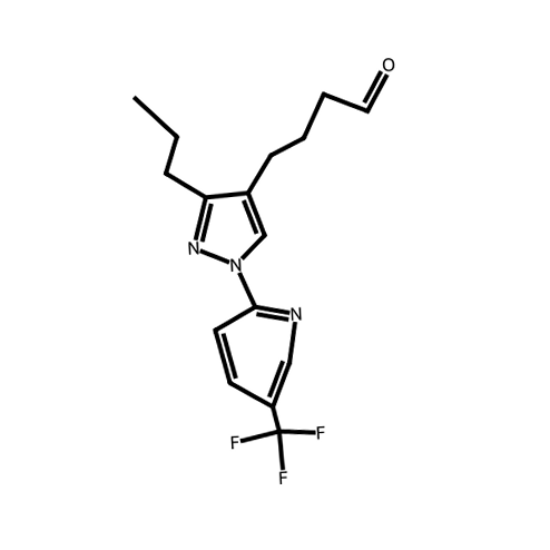 CCCc1nn(-c2ccc(C(F)(F)F)cn2)cc1CCCC=O